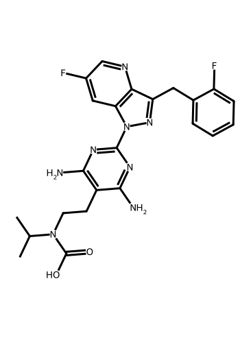 CC(C)N(CCc1c(N)nc(-n2nc(Cc3ccccc3F)c3ncc(F)cc32)nc1N)C(=O)O